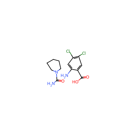 NC(=O)N1CCCCC1.Nc1cc(Cl)c(Cl)cc1C(=O)O